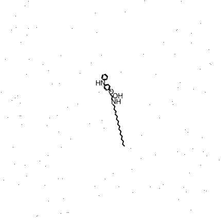 CCCCCCCCCCCCCCCCCCNCC(O)COc1ccc(Nc2ccccc2)cc1